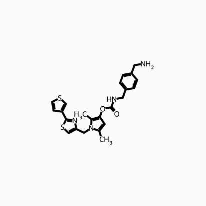 Cc1cc(OC(=O)NCc2ccc(CN)cc2)c(C)n1Cc1csc(-c2ccsc2)n1